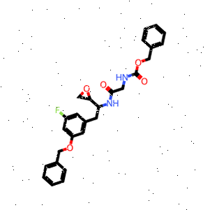 O=C(CNC(=O)OCc1ccccc1)NC(Cc1cc(F)cc(OCc2ccccc2)c1)C1CO1